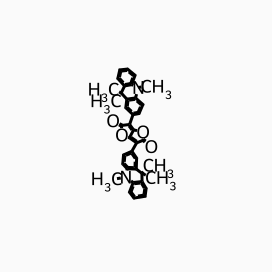 CN1c2ccccc2C(C)(C)c2cc(C3=C4OC(=O)C(c5ccc6c(c5)C(C)(C)c5ccccc5N6C)=C4OC3=O)ccc21